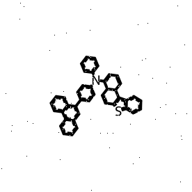 C1=CC2c3c(sc4ccccc34)C=CC2C(N(c2ccccc2)c2ccc(-c3cc4ccccc4c4ccccc34)cc2)=C1